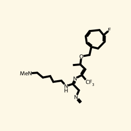 C=NC/C(=N\C(=C/C(C)OC/C1=C/C=CC/C(F)=C\C1)C(F)(F)F)NCCCCCNC